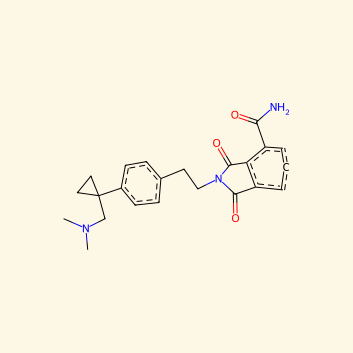 CN(C)CC1(c2ccc(CCN3C(=O)c4cccc(C(N)=O)c4C3=O)cc2)CC1